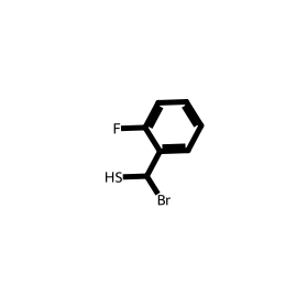 Fc1ccccc1C(S)Br